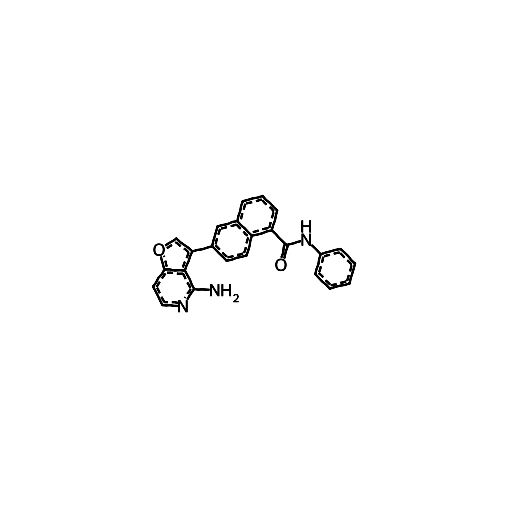 Nc1nccc2occ(-c3ccc4c(C(=O)Nc5ccccc5)cccc4c3)c12